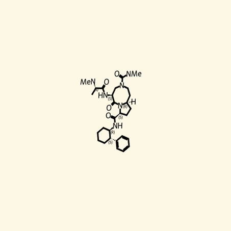 CNC(=O)N1CC[C@H]2CC[C@@H](C(=O)N[C@@H]3CCCC[C@H]3c3ccccc3)N2C(=O)[C@@H](NC(=O)[C@H](C)NC)C1